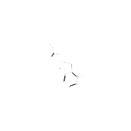 NC(=O)O[C@H]1Cc2cccc(Cl)c2[C@H]1O